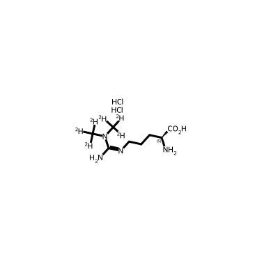 Cl.Cl.[2H]C([2H])([2H])N(C(N)=NCCC[C@H](N)C(=O)O)C([2H])([2H])[2H]